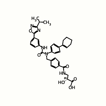 CC(C)c1noc(-c2cccc(NC(=O)N(Cc3ccc(C(=O)NC[C@@H](O)C(=O)O)cc3)c3ccc(C4=CCCCC4)cc3)c2)n1